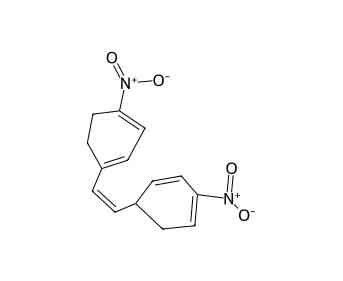 O=[N+]([O-])C1=CCC(/C=C\C2=CC=C([N+](=O)[O-])CC2)C=C1